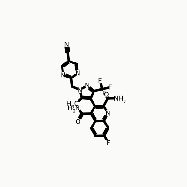 Cc1c(-c2c(C(N)=O)nc3cc(F)ccc3c2C(N)=O)c(C(F)(F)F)nn1Cc1ncc(C#N)cn1